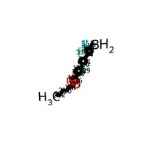 BCc1ccc(-c2ccc(-c3ccc(C4COC(CCCCCCC)OC4)cc3F)cc2)c(F)c1F